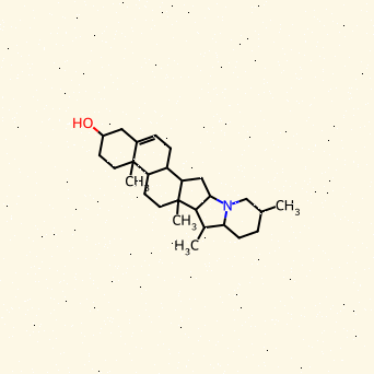 CC1CCC2C(C)C3C(CC4C5CC=C6CC(O)CCC6(C)C5CCC43C)N2C1